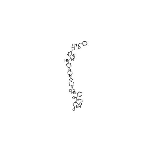 O=C1CC[C@H](N2C(=O)c3cccc(NCC(=O)N4CCC5(CC4)CC(N4CCN(c6ccc(Nc7ncnc8c7ncn8C7CC(NC(=O)Cc8ccccc8)C7)cc6)CC4)C5)c3C2=O)C(=O)N1